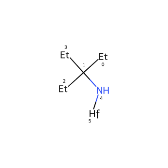 CCC(CC)(CC)[NH][Hf]